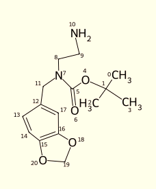 CC(C)(C)OC(=O)N(CCN)Cc1ccc2c(c1)OCO2